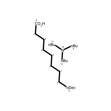 CCCCCCCCCCCCCCCCCC(=O)O.CCCCN(CCCC)CCCC